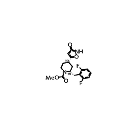 COC(=O)N1CC[C@H](c2cc(=O)[nH]o2)C[C@@H]1Cc1c(F)cccc1F